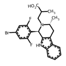 CC(CN1[C@H](c2c(F)cc(Br)cc2F)c2[nH]c3ccccc3c2C[C@H]1C)C(=O)O